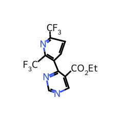 CCOC(=O)c1cncnc1-c1ccc(C(F)(F)F)nc1C(F)(F)F